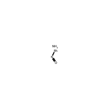 N.O=[N][Rh]